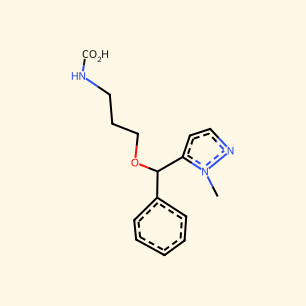 Cn1nccc1C(OCCCNC(=O)O)c1ccccc1